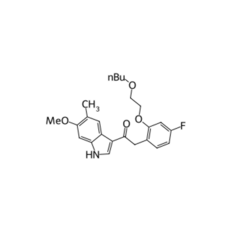 CCCCOCCOc1cc(F)ccc1CC(=O)c1c[nH]c2cc(OC)c(C)cc12